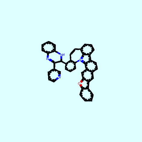 C1=Cc2cccc3c4ccc5cc6c(cc5c4n(c23)-c2cccc(C3Nc4ccccc4N=C3c3cccnc3)c21)oc1ccccc16